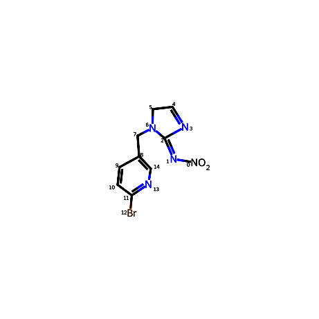 O=[N+]([O-])N=C1N=CCN1Cc1ccc(Br)nc1